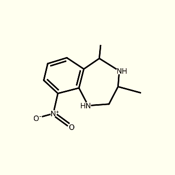 CC1CNc2c(cccc2[N+](=O)[O-])C(C)N1